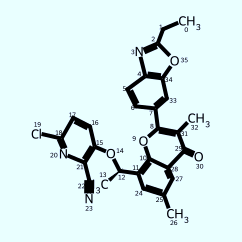 CCc1nc2ccc(-c3oc4c([C@@H](C)Oc5ccc(Cl)nc5C#N)cc(C)cc4c(=O)c3C)cc2o1